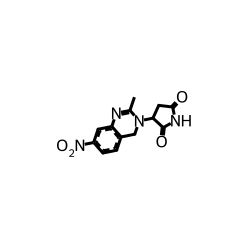 CC1=Nc2cc([N+](=O)[O-])ccc2CN1C1CC(=O)NC1=O